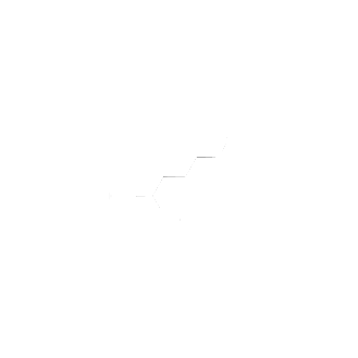 CC(CCCO[C]=O)C(=O)O